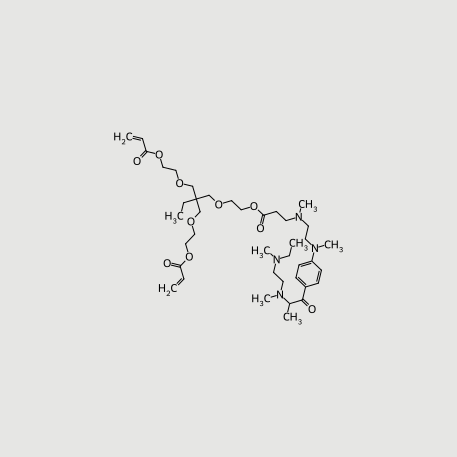 C=CC(=O)OCCOCC(CC)(COCCOC(=O)C=C)COCCOC(=O)CCN(C)CCN(C)c1ccc(C(=O)C(C)N(C)CCN(C)CC)cc1